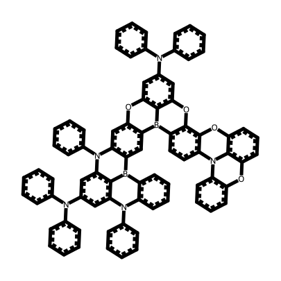 c1ccc(N(c2ccccc2)c2cc3c4c(c2)Oc2c(ccc5c2Oc2cccc6c2N5c2ccccc2O6)B4c2cc4c(cc2O3)N(c2ccccc2)c2cc(N(c3ccccc3)c3ccccc3)cc3c2B4c2ccccc2N3c2ccccc2)cc1